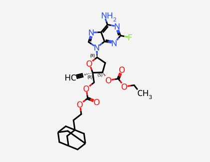 C#C[C@]1(COC(=O)OCCC23CC4CC(CC(C4)C2)C3)O[C@@H](n2cnc3c(N)nc(F)nc32)C[C@@H]1OC(=O)OCC